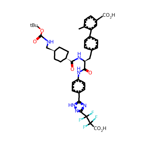 Cc1ccc(C(=O)O)cc1-c1ccc(C[C@H](NC(=O)[C@H]2CC[C@H](CNC(=O)OC(C)(C)C)CC2)C(=O)Nc2ccc(-c3nc(C(F)(F)C(F)(F)C(=O)O)n[nH]3)cc2)cc1